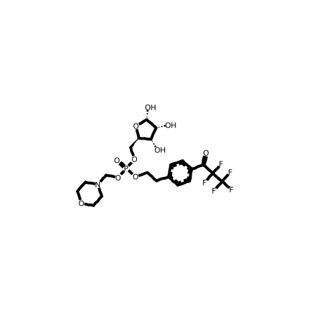 O=C(c1ccc(CCOP(=O)(OC[C@H]2O[C@H](O)[C@H](O)[C@@H]2O)OCN2CCOCC2)cc1)C(F)(F)C(F)(F)F